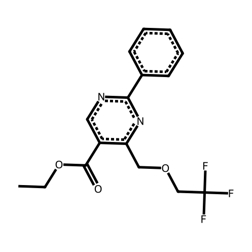 CCOC(=O)c1cnc(-c2ccccc2)nc1COCC(F)(F)F